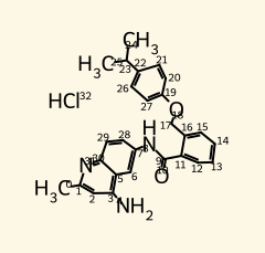 Cc1cc(N)c2cc(NC(=O)c3ccccc3COc3ccc(C(C)C)cc3)ccc2n1.Cl